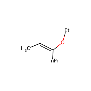 [CH2]COC(=CC)CCC